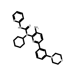 Nc1ccc(-c2cccc(N3CCOCC3)c2)nc1N(C(=O)Nc1ccccn1)C1CCCCC1